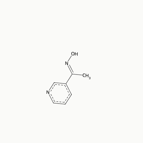 CC(=NO)c1cccnc1